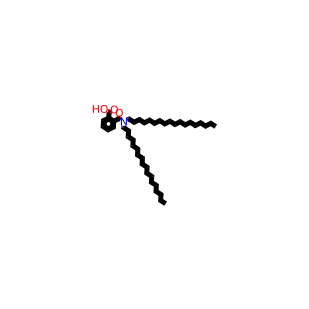 CCCCCCCCCCCCCCCCCCN(CCCCCCCCCCCCCCCCCC)C(=O)c1ccccc1C(=O)O